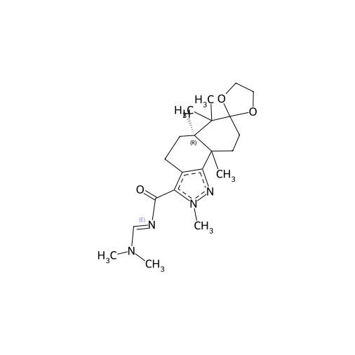 CN(C)/C=N/C(=O)c1c2c(nn1C)C1(C)CCC3(OCCO3)C(C)(C)[C@@H]1CC2